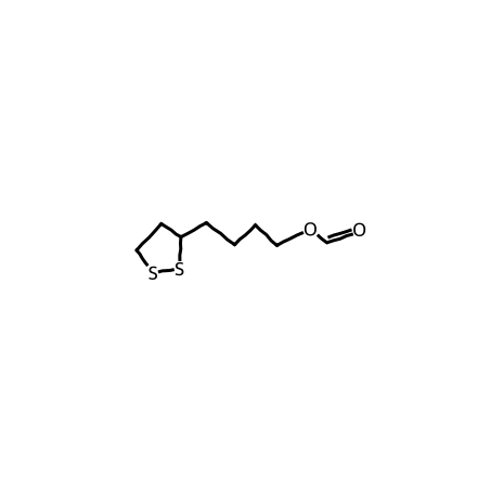 O=COCCCCC1CCSS1